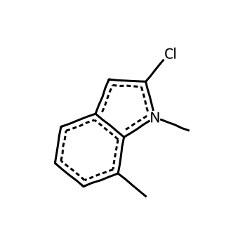 Cc1cccc2cc(Cl)n(C)c12